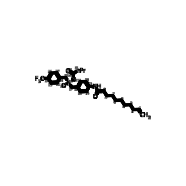 C=CCCCCCCCCC(=O)Nc1ccc(C[N+]([O-])(Cc2ccc(C(F)(F)F)cc2)OC(=O)CCC)cc1